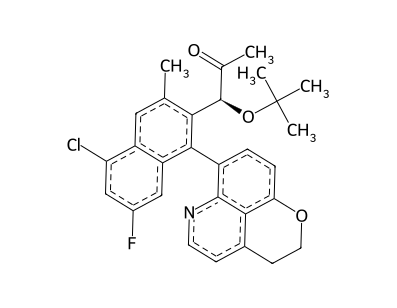 CC(=O)[C@@H](OC(C)(C)C)c1c(C)cc2c(Cl)cc(F)cc2c1-c1ccc2c3c(ccnc13)CCO2